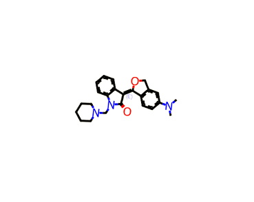 CN(C)c1ccc2c(c1)CO/C2=C1/C(=O)N(CN2CCCCC2)c2ccccc21